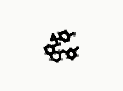 CC(=O)c1ccc(C2(Nc3nccc4c3N(Cc3cccc(C)c3)CCO4)CC2)cc1